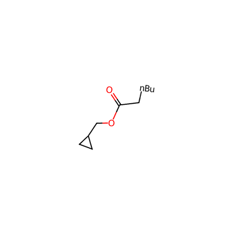 CCCCCC(=O)OCC1CC1